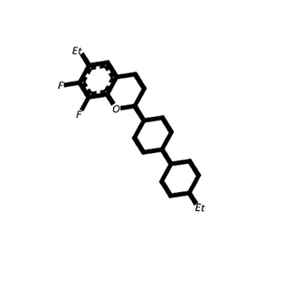 CCc1cc2c(c(F)c1F)OC(C1CCC(C3CCC(CC)CC3)CC1)CC2